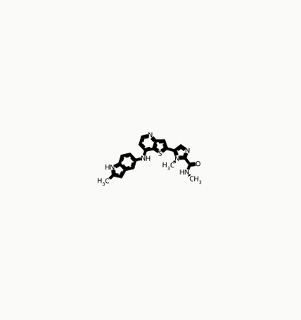 CNC(=O)c1ncc(-c2cc3nccc(Nc4ccc5[nH]c(C)cc5c4)c3s2)n1C